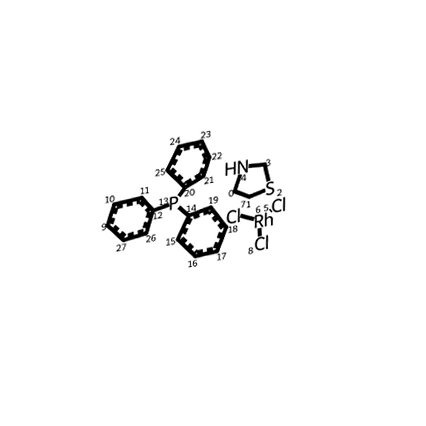 C1CSCN1.[Cl][Rh]([Cl])[Cl].c1ccc(P(c2ccccc2)c2ccccc2)cc1